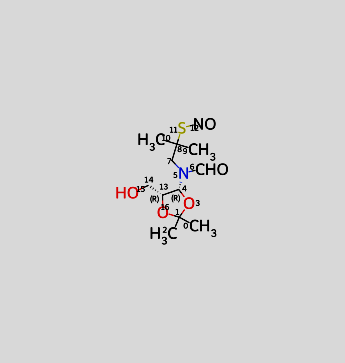 CC1(C)O[C@@H](N(C=O)CC(C)(C)SN=O)[C@@H](CO)O1